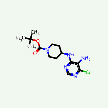 CC(C)(C)OC(=O)N1CCC(Nc2ncnc(Cl)c2N)CC1